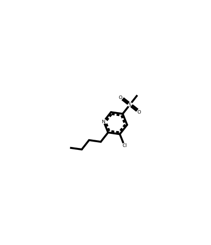 CCCCc1ncc(S(C)(=O)=O)cc1Cl